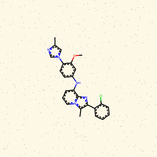 COc1cc(Nc2cccn3c(C)c(-c4ccccc4Cl)nc23)ccc1-n1cnc(C)c1